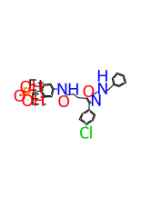 CCC(CC)(c1ccc(NC(=O)CCc2oc(NCc3ccccc3)nc2-c2ccc(Cl)cc2)cc1)P(=O)(O)O